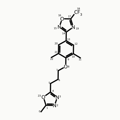 Cc1nnc(CCCOc2c(C)cc(-c3noc(C(F)(F)F)n3)cc2C)o1